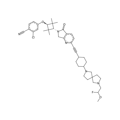 COC(F)CN1CCC2(CCN(C3CCC(C#Cc4ccc5c(n4)CN([C@H]4C(C)(C)[C@H](Oc6ccc(C#N)c(Cl)c6)C4(C)C)C5=O)CC3)C2)C1